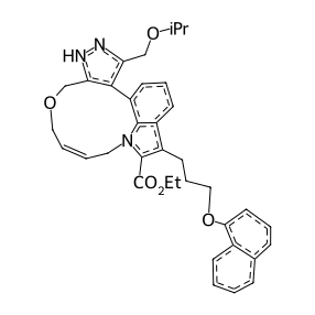 CCOC(=O)c1c(CCCOc2cccc3ccccc23)c2cccc3c2n1C/C=C\COCc1[nH]nc(COC(C)C)c1-3